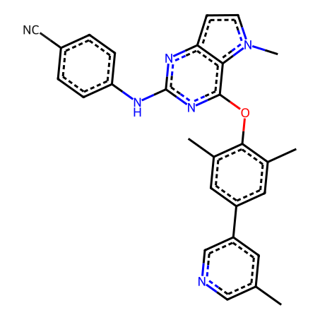 Cc1cncc(-c2cc(C)c(Oc3nc(Nc4ccc(C#N)cc4)nc4ccn(C)c34)c(C)c2)c1